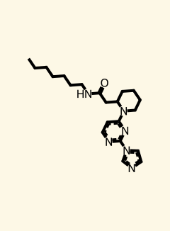 CCCCCCCNC(=O)CC1CCCCN1c1ccnc(-n2ccnc2)n1